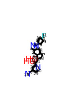 C[C@]12Cc3cnn(-c4ccc(F)cc4)c3C=C1CC[C@@]2(O)CC(O)c1cc(C#N)ccn1